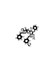 COc1cccc(CNC[C@@H](O)[C@H](Cc2ccccc2)NC(=O)CC(C)(C)C(=O)NCc2ccccc2)c1